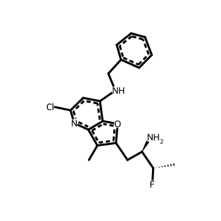 Cc1c(C[C@@H](N)[C@H](C)F)oc2c(NCc3ccccc3)cc(Cl)nc12